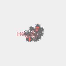 C[C@@H]([C@H](OCc1ccccc1)[C@H](C)CO)[C@@H](COC[C@H](OCc1ccccc1)[C@H](OCc1ccccc1)[C@@H](OCc1ccccc1)[C@H](CC(c1ccccc1)(c1ccccc1)c1ccccc1)OCc1ccccc1)OCc1ccccc1